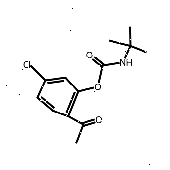 CC(=O)c1ccc(Cl)cc1OC(=O)NC(C)(C)C